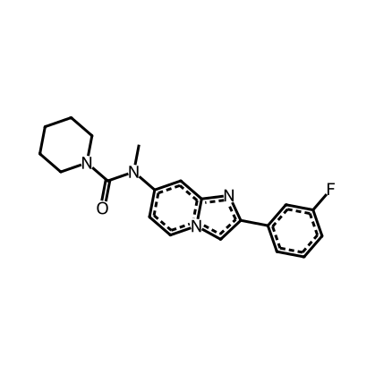 CN(C(=O)N1CCCCC1)c1ccn2cc(-c3cccc(F)c3)nc2c1